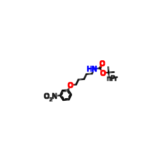 CCCC(C)(C)OC(=O)NCCCCCOc1cccc([N+](=O)[O-])c1